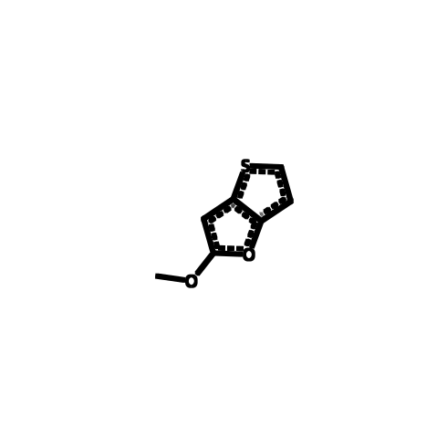 COc1cc2sccc2o1